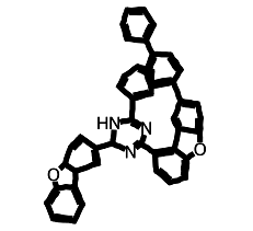 C1=CC2Oc3ccccc3C2C=C1C1N=C(c2cccc3oc4ccc(-c5ccc(-c6ccccc6)cc5)cc4c23)N=C(c2ccccc2)N1